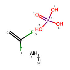 C=C(F)F.O=P(O)(O)O.[AlH3].[Ti]